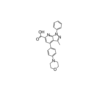 Cc1nn(-c2ccccc2)c2nc(C(=O)O)cc(-c3ccc(N4CCOCC4)cc3)c12